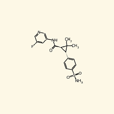 CC1(C)[C@H](C(=O)Nc2cncc(F)c2)[C@H]1c1ccc(S(N)(=O)=O)cc1